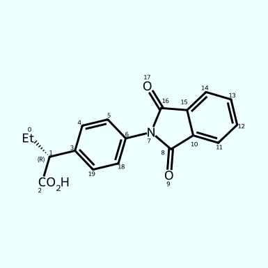 CC[C@@H](C(=O)O)c1ccc(N2C(=O)c3ccccc3C2=O)cc1